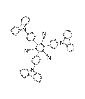 N#Cc1c(-c2ccc(-n3c4ccccc4c4ccccc43)cc2)c(C#N)c(-c2ccc(-n3c4ccccc4c4ccccc43)cc2)c(C#N)c1-c1ccc(-n2c3ccccc3c3ccccc32)cc1